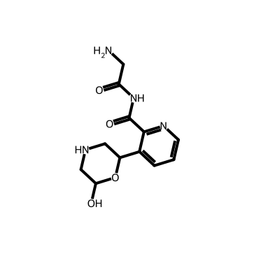 NCC(=O)NC(=O)c1ncccc1C1CNCC(O)O1